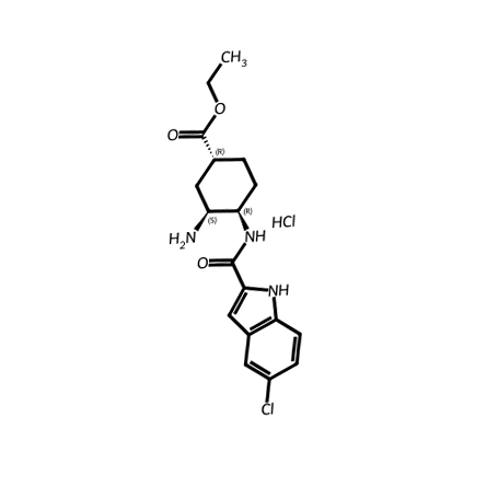 CCOC(=O)[C@@H]1CC[C@@H](NC(=O)c2cc3cc(Cl)ccc3[nH]2)[C@@H](N)C1.Cl